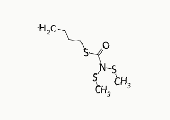 [CH2]CCCSC(=O)N(SC)SC